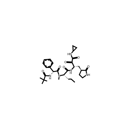 CCC[C@@H](C(=O)N[C@@H](C[C@@H]1CCNC1=O)C(=O)C(=O)NC1CC1)N(C)C(=O)[C@H](NC(=O)C(C)(C)C)c1ccccc1